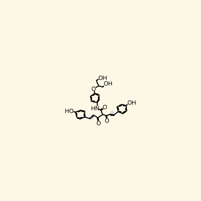 O=C(/C=C/c1ccc(O)cc1)C(C(=O)/C=C/c1ccc(O)cc1)C(=O)Nc1ccc(OC(CO)CO)cc1